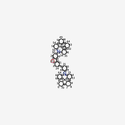 c1ccc(C2(c3ccccc3)c3ccccc3N(c3cccc(-c4ccc5oc6ccc(N7c8ccccc8C(c8ccccc8)(c8ccccc8)c8ccccc87)cc6c5c4)c3)c3ccccc32)cc1